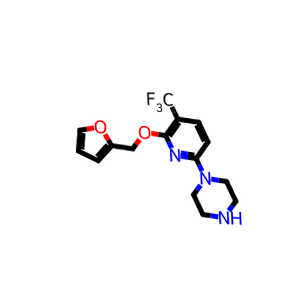 FC(F)(F)c1ccc(N2CCNCC2)nc1OCc1ccco1